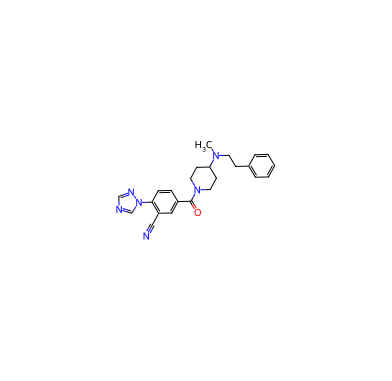 CN(CCc1ccccc1)C1CCN(C(=O)c2ccc(-n3cncn3)c(C#N)c2)CC1